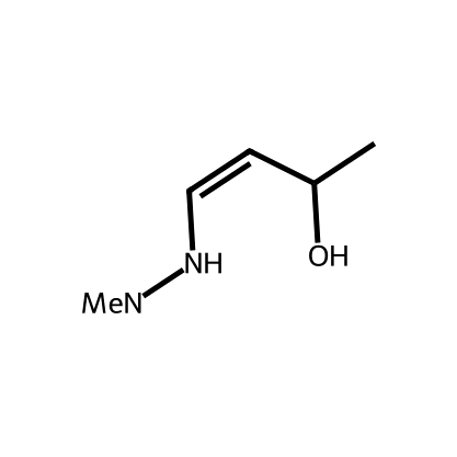 CNN/C=C\C(C)O